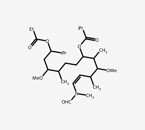 CCC(=O)OC(CC(OC)C(C)CCC(OC(=O)C(C)C)C(C)C(OC)C(C)C=CN(C)C=O)C(C)C